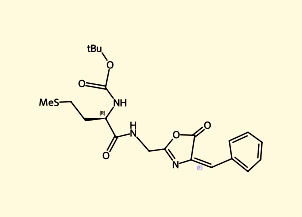 CSCC[C@@H](NC(=O)OC(C)(C)C)C(=O)NCC1=N/C(=C/c2ccccc2)C(=O)O1